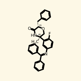 C[C@@]1(c2cc(N=C(c3ccccc3)c3ccccc3)ccc2F)CO[C@@H](Cc2ccccc2)C(=O)N1